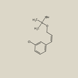 CC(C)(C)[Si](C)(C)OC/C=C\c1cccc(Cl)c1